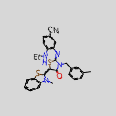 CCNc1ccc(C#N)cc1/N=C1\S/C(=C2\Sc3ccccc3N2C)C(=O)N1Cc1cccc(C)c1